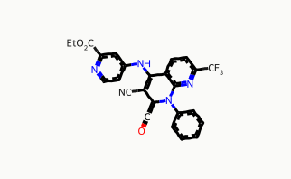 CCOC(=O)c1cc(NC2=C(C#N)C(=C=O)N(c3ccccc3)c3nc(C(F)(F)F)ccc32)ccn1